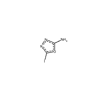 Nc1nnc(I)o1